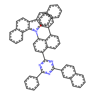 c1ccc(-c2nc(-c3ccc4ccccc4c3)nc(-c3ccc(-n4c5cc6ccccc6cc5c5ccc6ccccc6c54)c4c(-c5ccccc5)cccc34)n2)cc1